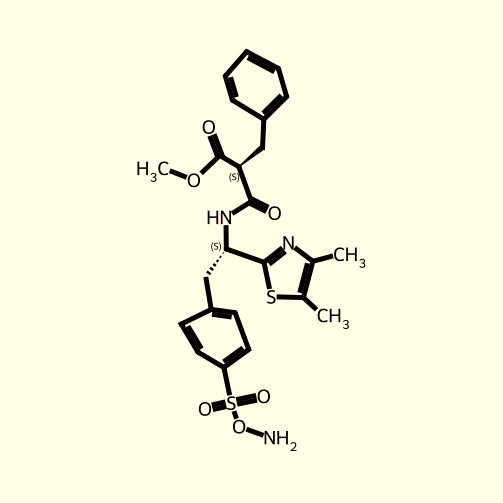 COC(=O)[C@@H](Cc1ccccc1)C(=O)N[C@@H](Cc1ccc(S(=O)(=O)ON)cc1)c1nc(C)c(C)s1